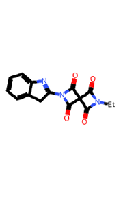 CCN1C(=O)C2(C1=O)C(=O)N(C1=Nc3ccccc3C1)C2=O